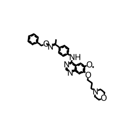 COc1cc2c(Nc3ccc(C(C)=NOCc4ccccc4)cc3)ncnc2cc1OCCCN1CCOCC1